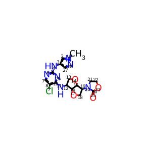 Cn1cc(Nc2ncc(Cl)c(NC3COC4C3OCC4N3CCOC3=O)n2)cn1